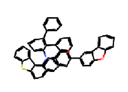 c1ccc(-c2ccccc2-c2c(-c3ccccc3)cccc2N(c2ccc(-c3ccc4oc5ccccc5c4c3)cc2)c2cccc3sc4ccccc4c23)cc1